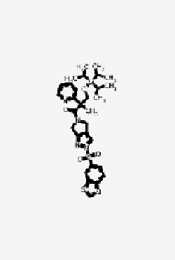 CC(C)[Si](OCC(C)(C(=O)N1Cc2cn(S(=O)(=O)c3ccc4ncsc4c3)nc2C1)c1ccccn1)(C(C)C)C(C)C